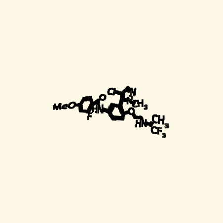 COc1ccc(C(=O)Nc2ccc(OCCNC(C)C(F)(F)F)c(-c3c(Cl)cnn3C)c2)c(F)c1